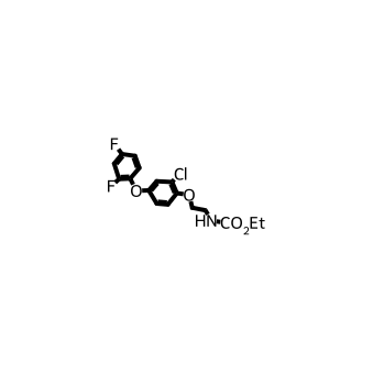 CCOC(=O)NCCOc1ccc(Oc2ccc(F)cc2F)cc1Cl